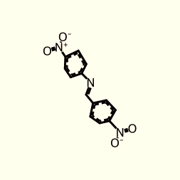 O=[N+]([O-])c1ccc(C=Nc2ccc([N+](=O)[O-])cc2)cc1